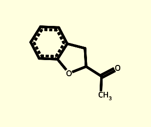 CC(=O)C1Cc2ccccc2O1